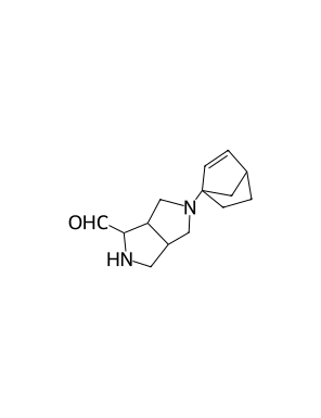 O=CC1NCC2CN(C34C=CC(CC3)C4)CC21